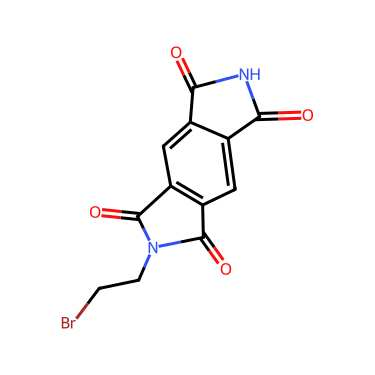 O=c1[nH]c(=O)c2cc3c(=O)n(CCBr)c(=O)c3cc12